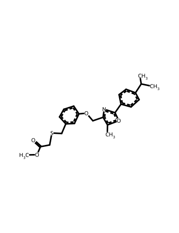 COC(=O)CSCc1cccc(OCc2nc(-c3ccc(C(C)C)cc3)oc2C)c1